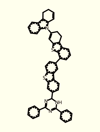 C1=Cc2c(c3ccccc3n2C2=Cc3sc4c(-c5ccc6sc7cc(C8N=C(c9ccccc9)N=C(c9ccccc9)N8)ccc7c6c5)cccc4c3CC2)CC1